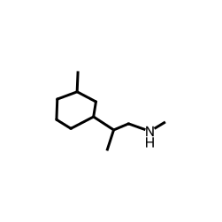 CNCC(C)C1CCCC(C)C1